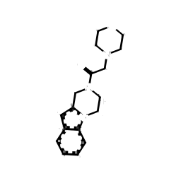 Cl.O=C(CN1CCOCC1)N1CCn2c(cc3ccccc32)C1